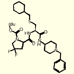 CC(C)(C)OC(=O)N1CC(F)(F)CC1C(=O)N[C@@H](CSCC1CCCCC1)C(=O)NC1CCN(Cc2ccccc2)CC1